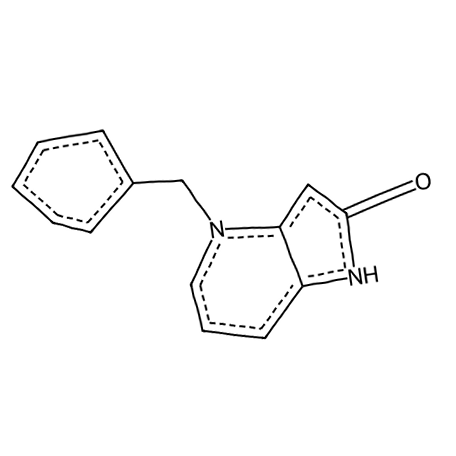 O=c1cc2n(Cc3ccccc3)cccc-2[nH]1